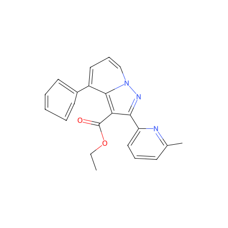 CCOC(=O)c1c(-c2cccc(C)n2)nn2cccc(-c3ccccc3)c12